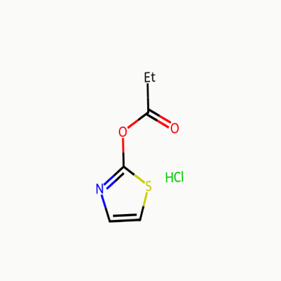 CCC(=O)Oc1nccs1.Cl